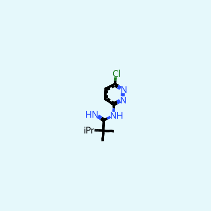 CC(C)C(C)(C)C(=N)Nc1ccc(Cl)nn1